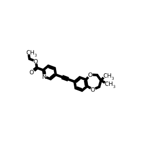 CCOC(=O)c1ccc(C#Cc2ccc3c(c2)OCC(C)(C)CO3)cn1